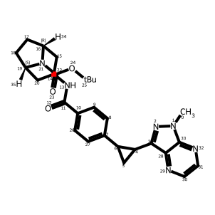 Cn1nc(C2CC2c2ccc(C(=O)NC3C[C@H]4CC[C@@H](C3)N4C(=O)OC(C)(C)C)cc2)c2nccnc21